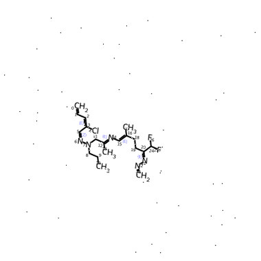 C=C/C=C(Cl)\C=N/N(CCC)C/C(C)=N/C=C(\C)CC/C(=N\N=C)C(F)F